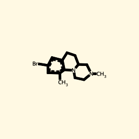 Cc1cc(Br)cc2c1N1CCN(C)CC1CC2